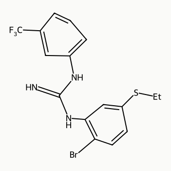 CCSc1ccc(Br)c(NC(=N)Nc2cccc(C(F)(F)F)c2)c1